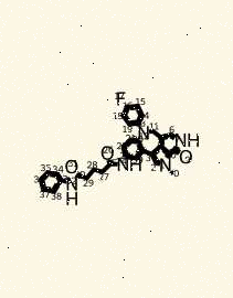 Cn1cc2c3c(c[nH]c(=O)c31)CN(c1ccc(F)cc1)c1ccc(NC(=O)CCCC(=O)Nc3ccccc3)cc1-2